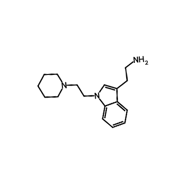 NCCc1cn(CCN2CCCCC2)c2ccccc12